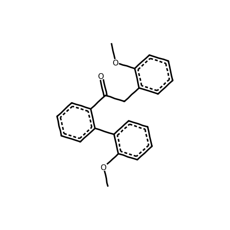 COc1ccccc1CC(=O)c1ccccc1-c1ccccc1OC